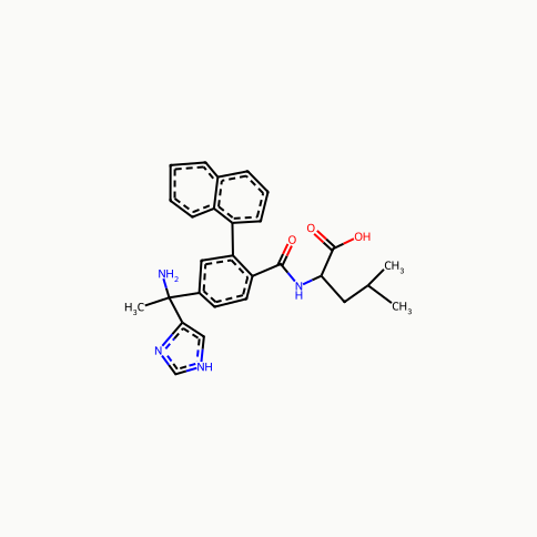 CC(C)CC(NC(=O)c1ccc(C(C)(N)c2c[nH]cn2)cc1-c1cccc2ccccc12)C(=O)O